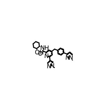 Cn1cc(-c2cc(Cc3ccc(-c4ccn(C)n4)cc3)cc(C(=O)N[C@H]3CCCC[C@@H]3O)n2)cn1